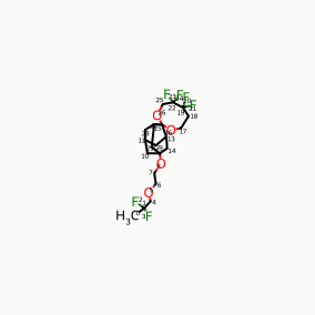 CC(F)(F)COCCOC12CC3CC(C1)C1(OCCC(F)(F)C(F)(F)CO1)C(C3)C2